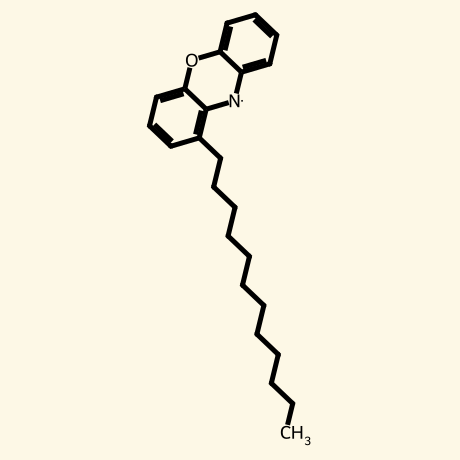 CCCCCCCCCCCCc1cccc2c1[N]c1ccccc1O2